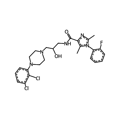 Cc1nc(C(=O)NCC(O)CN2CCN(c3cccc(Cl)c3Cl)CC2)c(C)n1-c1ccccc1F